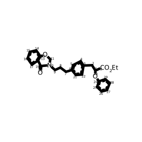 CCOC(=O)C(Cc1ccc(CCCN2COc3ccccc3C2=O)cc1)Oc1ccccc1